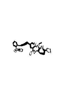 CCN1c2ncc(C#Cc3ccccc3[N+](=O)[O-])cc2C(=O)N(C)c2ccc(Cl)nc21